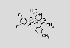 Cc1cccc(-c2c(C)sc3nc(C)cc(NS(=O)(=O)c4cc(Cl)cc(Cl)c4)c23)c1